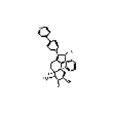 C[C@@H]1C(=O)C(C#N)=C[C@]2(c3ccccc3)c3nn(C)c(-c4ccc(-c5ccncc5)cc4)c3CC[C@@H]12